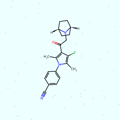 Cc1c(F)c(C(=O)CN2[C@H]3CC[C@@H]2CC3)c(C)n1-c1ccc(C#N)cc1